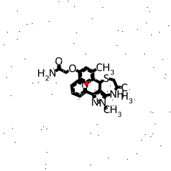 Cc1cc(OCC(N)=O)ccc1C1SCC(C)Nc2c1c(-c1ccccn1)nn2C